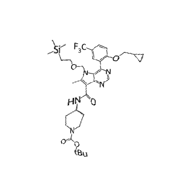 Cc1c(C(=O)NC2CCN(C(=O)OC(C)(C)C)CC2)c2ncnc(-c3cc(C(F)(F)F)ccc3OCC3CC3)c2n1COCC[Si](C)(C)C